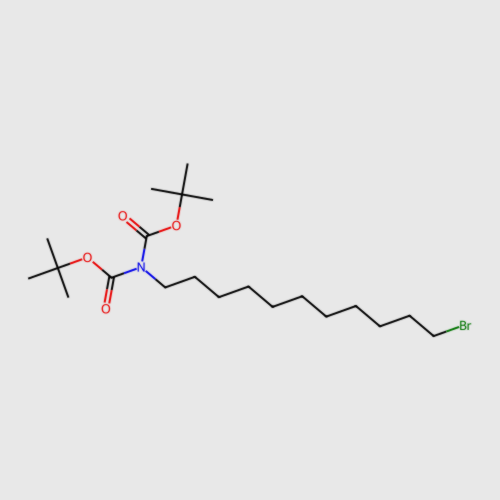 CC(C)(C)OC(=O)N(CCCCCCCCCCCBr)C(=O)OC(C)(C)C